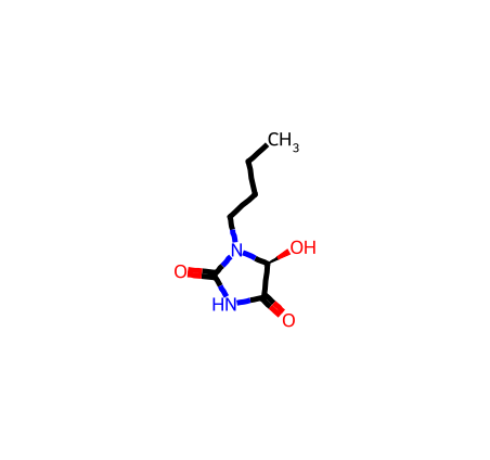 CCCCN1C(=O)NC(=O)[C@@H]1O